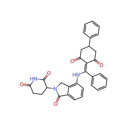 O=C1CCC(N2Cc3c(NC(=C4C(=O)CC(c5ccccc5)CC4=O)c4ccccc4)cccc3C2=O)C(=O)N1